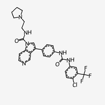 O=C(Nc1ccc(-c2cn(C(=O)NCCN3CCCC3)c3ccncc23)cc1)Nc1ccc(Cl)c(C(F)(F)F)c1